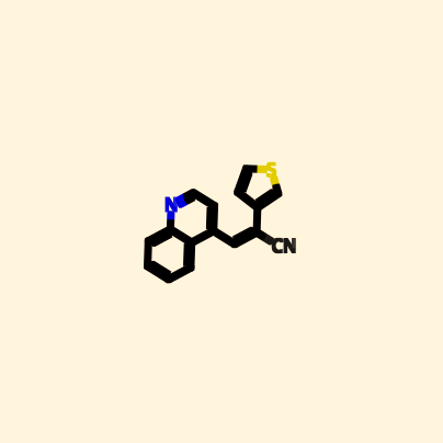 N#CC(=Cc1ccnc2ccccc12)c1ccsc1